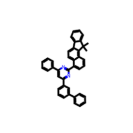 CC1(C)c2ccccc2-c2ccc3c(-c4nc(-c5ccccc5)cc(-c5cccc(-c6ccccc6)c5)n4)cccc3c21